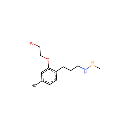 CPNCCCc1ccc(C#N)cc1OCCO